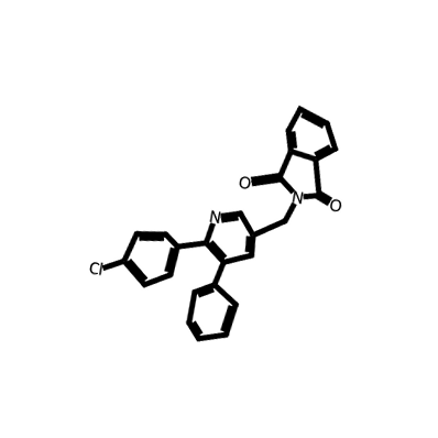 O=C1c2ccccc2C(=O)N1Cc1cnc(-c2ccc(Cl)cc2)c(-c2ccccc2)c1